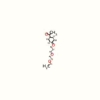 C=COCCOCCCOc1ccc(C(C)=O)cc1